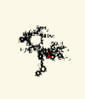 CC(=O)NC1CCSCC(C(=O)NC(Cc2ccc(OCCNC3CCCCC(C4CCCCC4)C3)cc2)C(=O)NC(Cc2ccc3ccccc3c2)C(=O)NC2(C(=O)NC(CCC(=O)O)C(=O)NC(CC(N)=O)C(=O)NC(CC(N)=O)C(N)=O)CCOCC2)NC(=O)C(CCC(N)=O)NC(=O)C(Cc2c[nH]c3ccccc23)NC(=O)C(C(C)O)NC(=O)C(CCC(N)=O)NC1=O